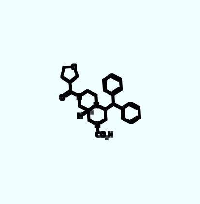 O=C(O)N1CC(C(c2ccccc2)c2ccccc2)N2CCN(C(=O)C3CCOC3)C[C@H]2C1